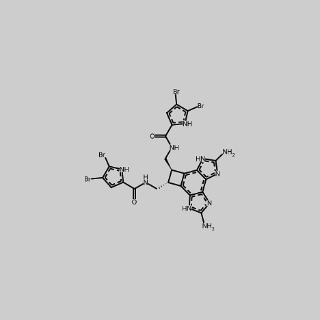 Nc1nc2c([nH]1)c1c(c3[nH]c(N)nc32)[C@H](CNC(=O)c2cc(Br)c(Br)[nH]2)[C@H]1CNC(=O)c1cc(Br)c(Br)[nH]1